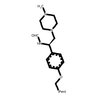 CCCC(C)COc1ccc([C@H](CN2CCN(C)CC2)NC=O)cc1